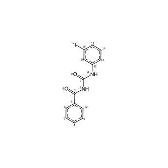 O=C(NC(=O)c1ccccc1)Nc1cccc(I)c1